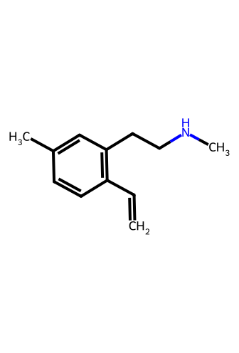 C=Cc1ccc(C)cc1CCNC